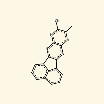 Cc1nc2nc3c(nc2nc1C#N)-c1cccc2cccc-3c12